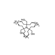 C=CCC(CO)(CC=C)N(C(CO)(CC=C)CC=C)C(CO)(CC=C)CC=C